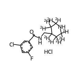 Cl.[2H]C1([2H])NC([2H])([2H])C([2H])([2H])C([2H])(CNC(=O)c2cc(F)cc(Cl)c2)C1([2H])[2H]